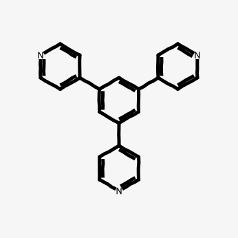 c1cc(-c2cc(-c3ccncc3)cc(-c3ccncc3)c2)ccn1